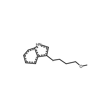 COCCC[CH]c1c[nH]c2ccccc12